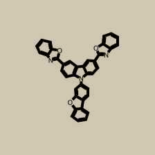 c1ccc2oc(-c3ccc4c(c3)c3cc(-c5nc6ccccc6o5)ccc3n4-c3ccc4c(c3)oc3ccccc34)nc2c1